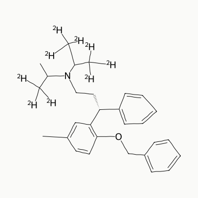 [2H]C([2H])([2H])C(C)N(CC[C@H](c1ccccc1)c1cc(C)ccc1OCc1ccccc1)C(C([2H])([2H])[2H])C([2H])([2H])[2H]